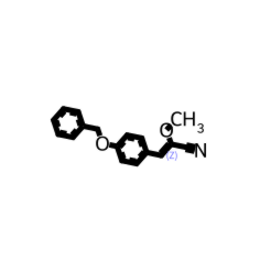 CO/C(C#N)=C\c1ccc(OCc2ccccc2)cc1